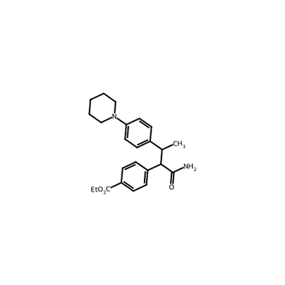 CCOC(=O)c1ccc(C(C(N)=O)C(C)c2ccc(N3CCCCC3)cc2)cc1